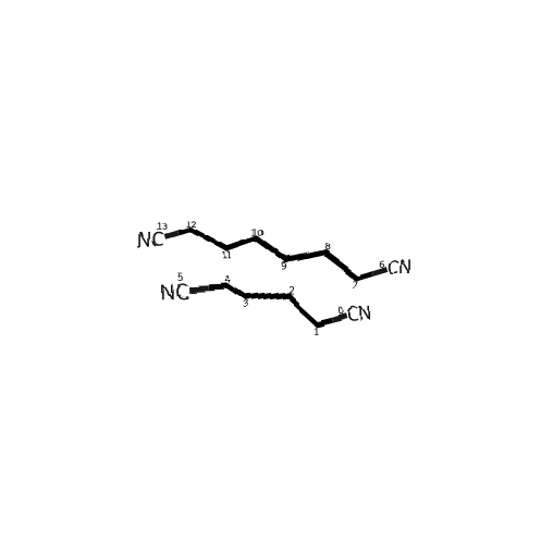 N#CCCCCC#N.N#CCCCCCCC#N